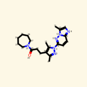 Cc1nn(-c2ccc3ncc(C)n3n2)c(C)c1CCC(=O)N1CCCCCC1